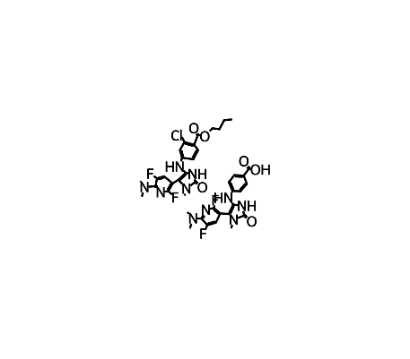 CCCCOC(=O)c1ccc(Nc2[nH]c(=O)n(C)c2-c2cc(F)c(N(C)C)nc2F)cc1Cl.CN(C)c1nc(F)c(-c2c(Nc3ccc(C(=O)O)cc3)[nH]c(=O)n2C)cc1F